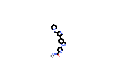 CNC(=O)c1ccc(-n2ncc3cc(-c4cncc(CN5CCCCC5)c4)ccc32)cn1